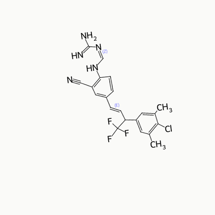 Cc1cc(C(/C=C/c2ccc(N/C=N\C(=N)N)c(C#N)c2)C(F)(F)F)cc(C)c1Cl